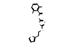 O=C(Nc1nnc(NCCc2cccs2)s1)c1c(Cl)cccc1Cl